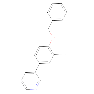 O=C(O)c1cc(-c2cccnc2)ccc1OCc1ccccc1